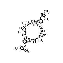 Cc1cc(C)n(Cc2ccc(C[C@H]3OC(=O)[C@H](CC(C)C)N(C)C(=O)[C@@H](C)OC(=O)[C@H](CC(C)C)N(C)C(=O)[C@@H](Cc4ccc(Cn5nc(C)cc5C)cc4)OC(=O)[C@H](CC(C)C)N(C)C(=O)[C@@H](C)OC(=O)[C@H](CC(C)C)N(C)C3=O)cc2)n1